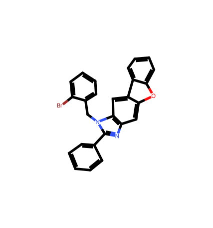 Brc1ccccc1Cn1c(-c2ccccc2)nc2cc3oc4ccccc4c3cc21